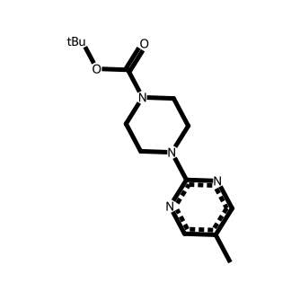 Cc1cnc(N2CCN(C(=O)OC(C)(C)C)CC2)nc1